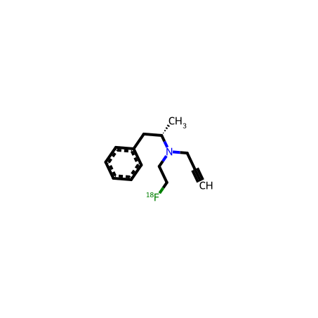 C#CCN(CC[18F])[C@@H](C)Cc1ccccc1